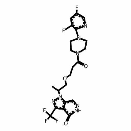 CC(COCCC(=O)N1CCN(c2ncc(F)cc2F)CC1)n1nc(C(F)(F)F)c2c(=O)[nH]ncc21